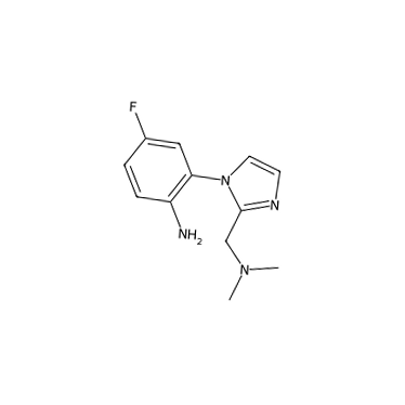 CN(C)Cc1nccn1-c1cc(F)ccc1N